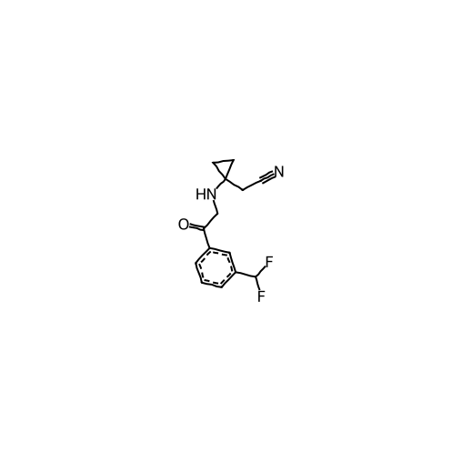 N#CCC1(NCC(=O)c2cccc(C(F)F)c2)CC1